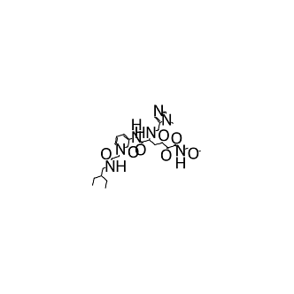 CCC(CC)CNC(=O)Cn1cccc(NC(=O)C(CCC(=O)C(=O)NCOC)NC(=O)c2cncn2C)c1=O